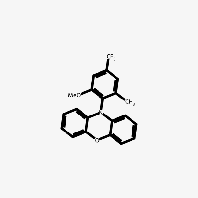 COc1cc(C(F)(F)F)cc(C)c1N1c2ccccc2Oc2ccccc21